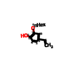 C=Cc1ccc(O)c(OCCCCCC)c1